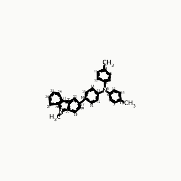 Cc1ccc(N(c2ccc(C)cc2)c2ccc(-c3ccc4c(c3)c3ccccc3n4C)cc2)cc1